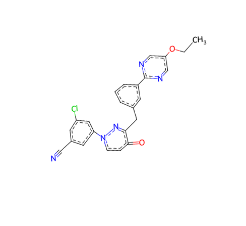 CCOc1cnc(-c2cccc(Cc3nn(-c4cc(Cl)cc(C#N)c4)ccc3=O)c2)nc1